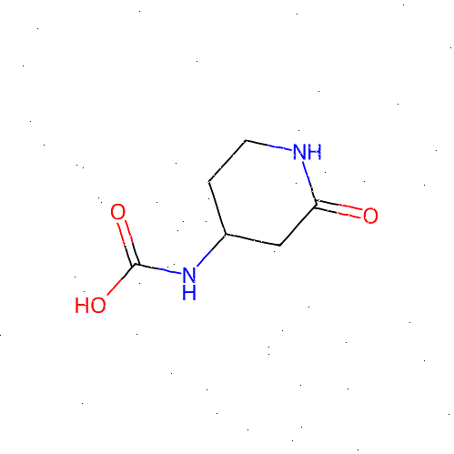 O=C(O)NC1CCNC(=O)C1